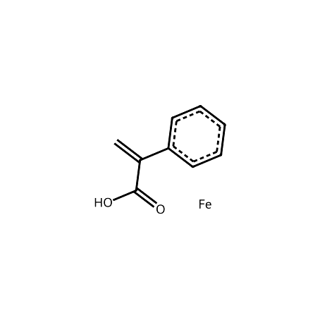 C=C(C(=O)O)c1ccccc1.[Fe]